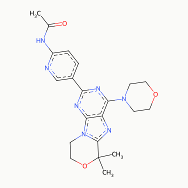 CC(=O)Nc1ccc(-c2nc(N3CCOCC3)c3nc4n(c3n2)CCOC4(C)C)cn1